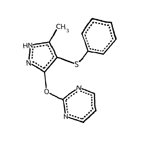 Cc1[nH]nc(Oc2ncccn2)c1Sc1ccccc1